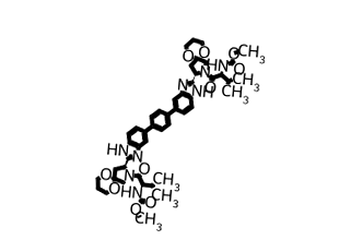 COC(=O)N[C@H](C(=O)N1CC2(C[C@H]1c1nc3cc(-c4ccc(-c5ccc6[nH]c([C@@H]7CC8(CN7C(=O)[C@@H](NC(=O)OC)C(C)C)OCCCO8)nc6c5)cc4)ccc3[nH]1)OCCCO2)C(C)C